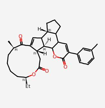 CC[C@H]1CCCC[C@@H](C)C(=O)C2=CC3[C@@H]4CCCC4C4C=C(c5cccc(C)c5)C(=O)OC4[C@H]3[C@@H]2CC(=O)O1